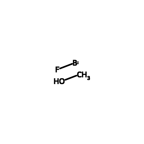 CO.[B]F